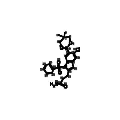 CC1(C)COB(c2cc3c(cc2Cl)cc(CCC(N)=O)n3S(=O)(=O)c2ccccc2)OC1